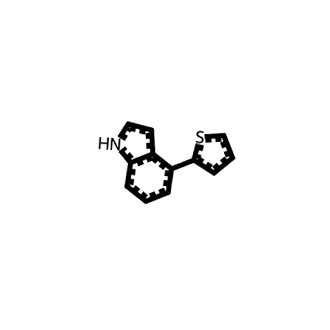 c1csc(-c2cccc3[nH]ccc23)c1